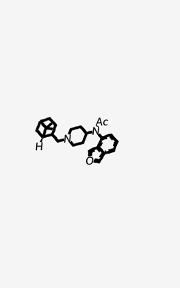 CC(=O)N(c1cccc2cocc12)C1CCN(CC2CCC3C[C@@H]2C3(C)C)CC1